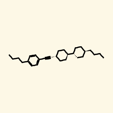 CCCCc1ccc(C#C[C@H]2CC[C@H]([C@H]3CC[C@H](CCCC)CC3)CC2)cc1